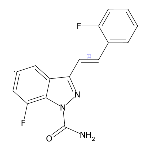 NC(=O)n1nc(/C=C/c2ccccc2F)c2c[c]cc(F)c21